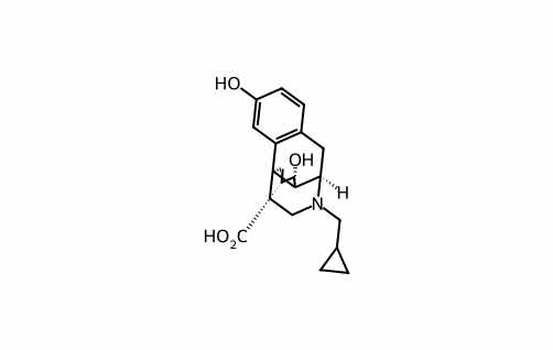 O=C(O)[C@@H]1C[C@]23CCN(CC4CC4)[C@H](Cc4ccc(O)cc42)[C@]3(O)C1